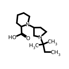 CCC(C)(C)N1CCC(N2CCCCC2C(=O)O)C1